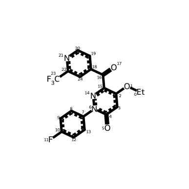 CCOc1cc(=O)n(-c2ccc(F)cc2)nc1C(=O)c1ccnc(C(F)(F)F)c1